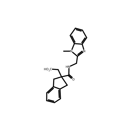 Cn1c(CNC(=O)C2(CC(=O)O)Cc3ccccc3C2)nc2ccccc21